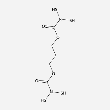 O=C(OCCCOC(=O)N(S)S)N(S)S